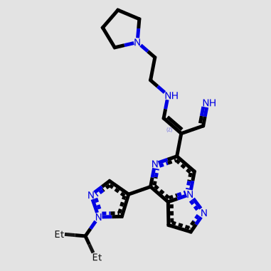 CCC(CC)n1cc(-c2nc(/C(C=N)=C/NCCN3CCCC3)cn3nccc23)cn1